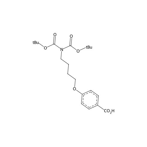 CC(C)(C)OC(=O)N(CCCCOc1ccc(C(=O)O)cc1)C(=O)OC(C)(C)C